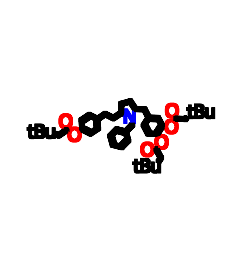 CC(C)(C)CC(=O)Oc1ccc(CCC2CCC(Cc3ccc(OC(=O)CC(C)(C)C)c(OC(=O)CC(C)(C)C)c3)N2Cc2ccccc2)cc1